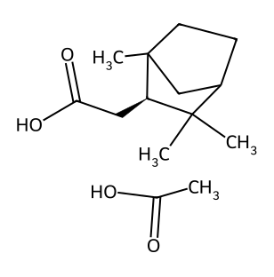 CC(=O)O.CC12CCC(C1)C(C)(C)[C@H]2CC(=O)O